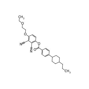 CCCC1CCC(c2ccc(C(=O)Oc3ccc(OCCOCC)c(C#N)c3C#N)cc2)CC1